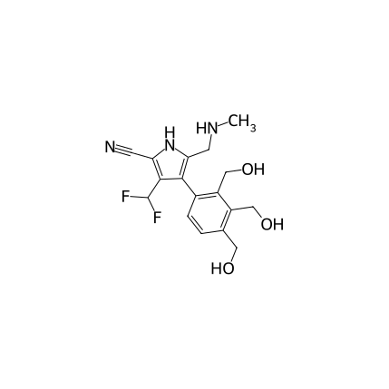 CNCc1[nH]c(C#N)c(C(F)F)c1-c1ccc(CO)c(CO)c1CO